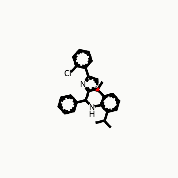 CC(C)c1cccc(C(C)C)c1NC(c1ccccc1)c1nc(-c2ccccc2Cl)cs1